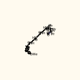 COc1ccc(-c2ccc3n2[B-](F)(F)[N+]2=C(C)C(CCC(=O)NCCCCCC(=O)NCCCCCC(=O)NCCCCCC(=O)N[C@@H](CC(C)C)C(=O)N[C@@H](CC(C)C)C(=O)N[C@H](/C=C/S(C)(=O)=O)CC(C)C)=C(C)C2=C3)cc1